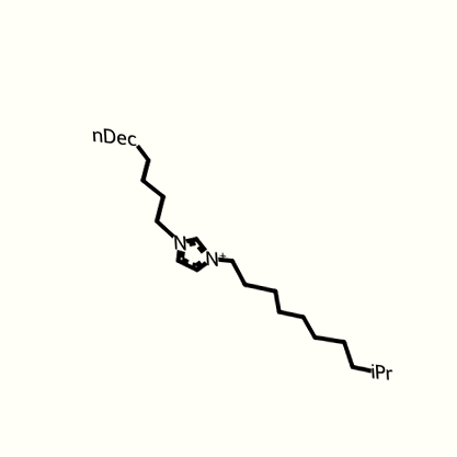 CCCCCCCCCCCCCCn1cc[n+](CCCCCCCCC(C)C)c1